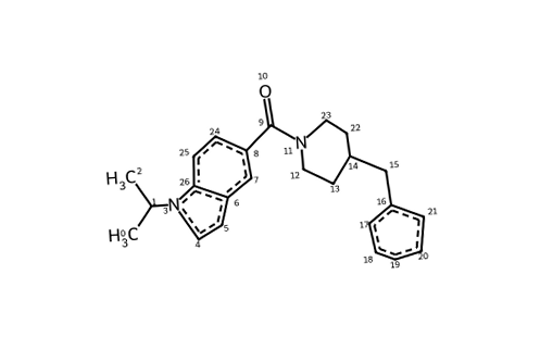 CC(C)n1ccc2cc(C(=O)N3CCC(Cc4ccccc4)CC3)ccc21